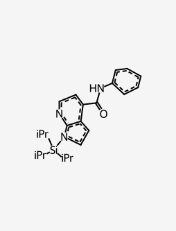 CC(C)[Si](C(C)C)(C(C)C)n1ccc2c(C(=O)Nc3ccccc3)ccnc21